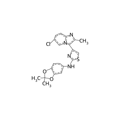 Cc1nc2ccc(Cl)cn2c1-c1csc(Nc2ccc3c(c2)OC(C)(C)O3)n1